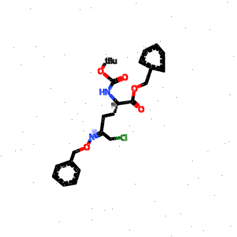 CC(C)(C)OC(=O)N[C@@H](CC/C(CCl)=N/OCc1ccccc1)C(=O)OCc1ccccc1